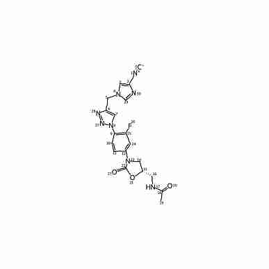 [C-]#[N+]c1cn(Cc2cn(-c3ccc(N4C[C@H](CNC(C)=O)OC4=O)cc3F)nn2)cn1